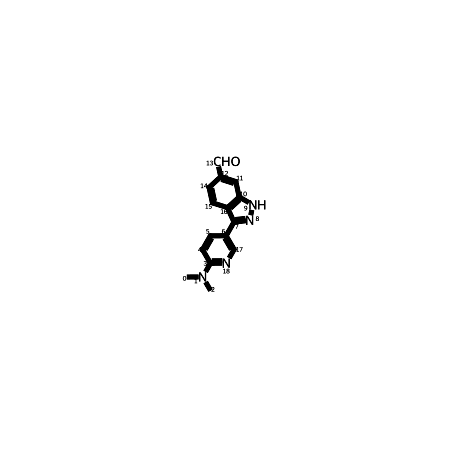 CN(C)c1ccc(-c2n[nH]c3cc(C=O)ccc23)cn1